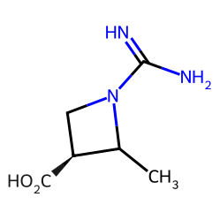 CC1[C@@H](C(=O)O)CN1C(=N)N